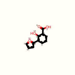 O=C(O)c1cccc(-c2ccco2)c1O